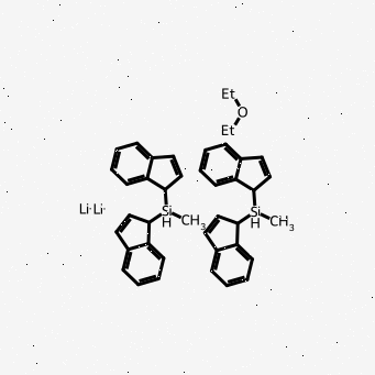 CCOCC.C[SiH](C1C=Cc2ccccc21)C1C=Cc2ccccc21.C[SiH](C1C=Cc2ccccc21)C1C=Cc2ccccc21.[Li].[Li]